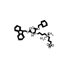 C[N+](C)(CCCC[C@H](NC(=O)OCC1c2ccccc2-c2ccccc21)C(=O)OCc1ccccc1)CCCS(=O)(=O)[O-]